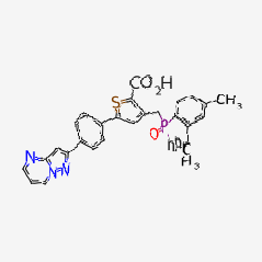 CCCP(=O)(Cc1cc(-c2ccc(-c3cc4ncccn4n3)cc2)sc1C(=O)O)c1ccc(C)cc1C